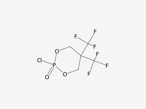 O=P1(Cl)OCC(C(F)(F)F)(C(F)(F)F)CO1